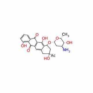 CC(=O)C1(O)Cc2cc3c(c(O)c2C(O[C@H]2C[C@H](N)[C@@H](O)[C@@H](C)O2)C1)C(=O)c1cccc(O)c1C3=O